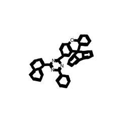 c1ccc(-c2nc(-c3ccc4c(c3)C3(c5ccccc5O4)c4ccccc4-c4ccccc43)nc(-c3cccc4ccccc34)n2)cc1